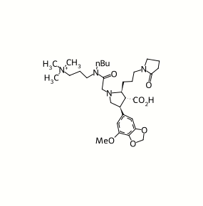 CCCCN(CCC[N+](C)(C)C)C(=O)CN1C[C@H](c2cc(OC)c3c(c2)OCO3)[C@@H](C(=O)O)[C@@H]1CCCN1CCCC1=O